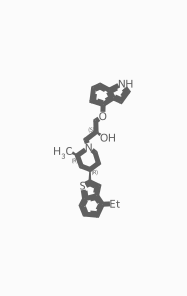 CCc1cccc2sc([C@@H]3CCN(C[C@H](O)COc4cccc5[nH]ccc45)[C@H](C)C3)cc12